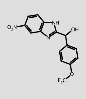 O=[N+]([O-])c1ccc2[nH]c(C(O)c3ccc(OC(F)(F)F)cc3)nc2c1